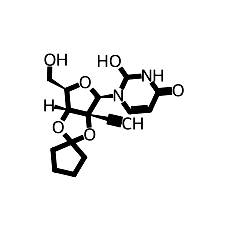 C#C[C@@]12OC3(CCCC3)O[C@@H]1[C@@H](CO)O[C@H]2N1C=CC(=O)NC1O